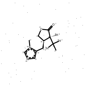 [2H]C([2H])(C)[C@]1([2H])C(=O)OC[C@@H]1Cc1cncn1C